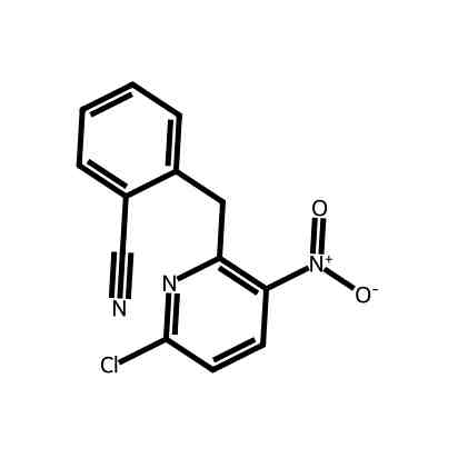 N#Cc1ccccc1Cc1nc(Cl)ccc1[N+](=O)[O-]